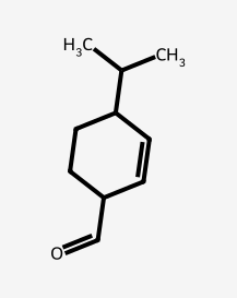 CC(C)C1C=CC(C=O)CC1